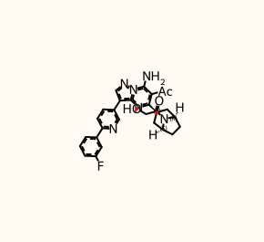 CC(=O)c1c([C@H]2C[C@H]3CC[C@@H](C2)N3C(=O)CO)nc2c(-c3ccc(-c4cccc(F)c4)nc3)cnn2c1N